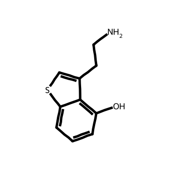 NCCc1csc2cccc(O)c12